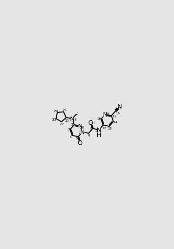 CN(c1ccc(=O)n(CC(=O)Nc2ccc(C#N)nc2)n1)C1CCCC1